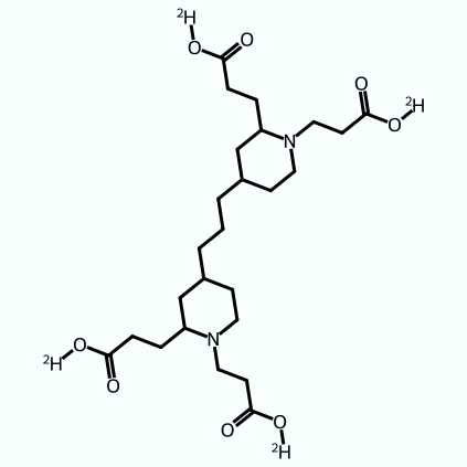 [2H]OC(=O)CCC1CC(CCCC2CCN(CCC(=O)O[2H])C(CCC(=O)O[2H])C2)CCN1CCC(=O)O[2H]